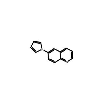 C1=C[SH](c2ccc3ncccc3c2)C=C1